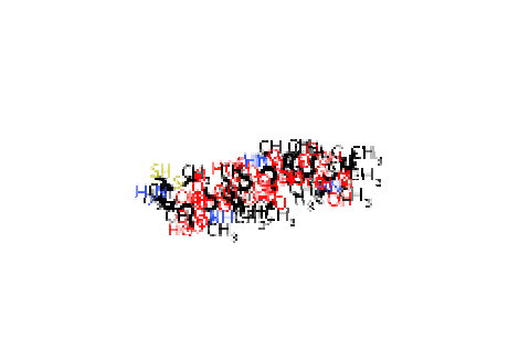 C=C(C)C(=O)OCC1O[C@@H](O[C@H]2C(C(=O)O)O[C@@H](C(CCC)(CCCC)C(CC)(CCC)OC3C(NC(C)=O)[C@H](O[C@H]4C(C(=O)O)O[C@@H](C(C)(CC)CCCC)C(O)C4O)OC(COC(=O)C(C)CSCC(N)CCS)[C@H]3O)[C@@H](O)C2O)C(NC(C)=O)C(OC(CCC)(CCCC)C(CC)(CCC)[C@@H]2OC(C(=O)O)[C@H](O[C@H](OC(C)CO)C(NC(C)=O)[C@@H](C)OC(C)(CCC)CCC)C(O)[C@@H]2O)[C@@H]1O